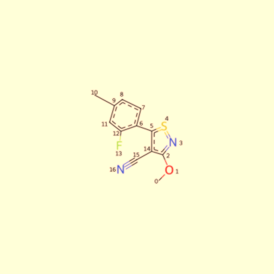 COc1nsc(-c2ccc(C)cc2F)c1C#N